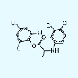 CC(Nc1ccc(Cl)c(Cl)c1)C(=O)Oc1c(Cl)cc(Cl)cc1Cl